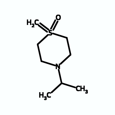 C=S1(=O)CCN(C(C)C)CC1